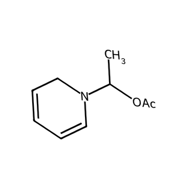 CC(=O)OC(C)N1C=CC=CC1